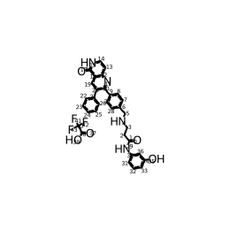 O=C(CCNCc1ccc(-c2nc3cc[nH]c(=O)c3cc2-c2ccccc2)cc1)Nc1cccc(O)c1.O=C(O)C(F)(F)F